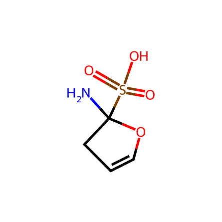 NC1(S(=O)(=O)O)CC=CO1